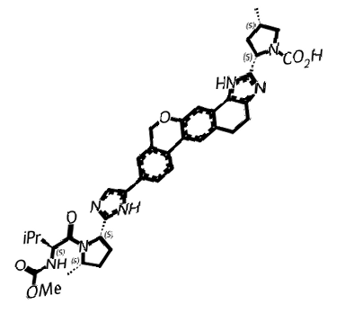 COC(=O)N[C@H](C(=O)N1[C@@H](C)CC[C@H]1c1ncc(-c2ccc3c(c2)COc2cc4c(cc2-3)CCc2nc([C@@H]3C[C@H](C)CN3C(=O)O)[nH]c2-4)[nH]1)C(C)C